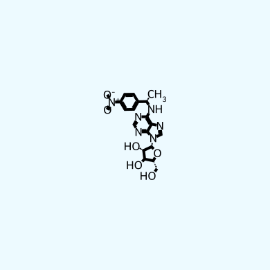 C[C@H](Nc1ncnc2c1ncn2[C@@H]1O[C@H](CO)C(O)[C@@H]1O)c1ccc([N+](=O)[O-])cc1